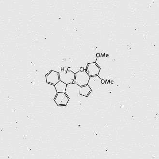 COc1ccc(C2=[C]([Zr](=[C](C)C)[CH]3c4ccccc4-c4ccccc43)CC=C2)c(OC)c1